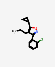 CCCc1c(-c2ccccc2Cl)noc1C1CC1